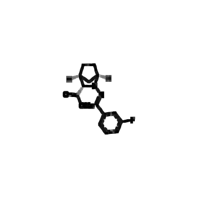 COC(=O)[C@@H]1[C@H]2CC[C@H](C2)N1N=Cc1cccc(F)c1